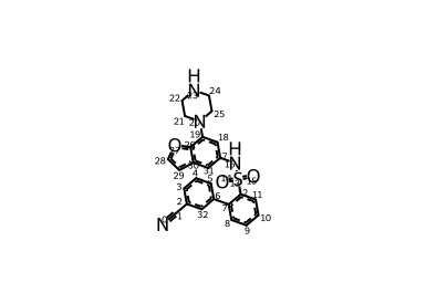 N#Cc1cccc(-c2ccccc2S(=O)(=O)Nc2cc(N3CCNCC3)c3occc3c2)c1